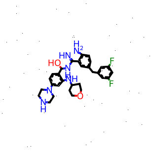 N=C(NC(O)c1ccc(N2CCNCC2)cc1NC1CCOCC1)c1cc(Cc2cc(F)cc(F)c2)ccc1N